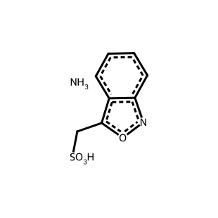 N.O=S(=O)(O)Cc1onc2ccccc12